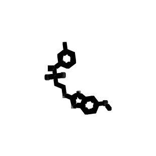 COc1ccc2nc(SCCS(=O)(=O)Nc3cccc(C)c3)sc2c1